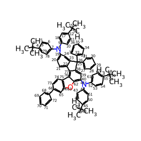 CC(C)(C)c1ccc(N(c2ccc(C(C)(C)C)cc2)c2ccc3c(c2)C(c2ccccc2)(c2ccccc2)c2cc(N(c4ccc(C(C)(C)C)cc4)c4ccc(C(C)(C)C)cc4)c4oc5cc(-c6ccccc6)ccc5c4c2-3)cc1